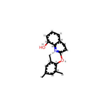 Cc1cc(C)c(Oc2ccc3cccc(O)c3n2)c(C)c1